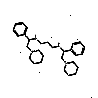 c1ccc(C(CN2CCCCC2)NCCCNC(CN2CCCCC2)c2ccccc2)cc1